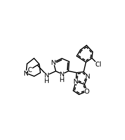 Clc1ccccc1-c1nc2occn2c1C1=CC=NC(NC2CN3CCC2CC3)N1